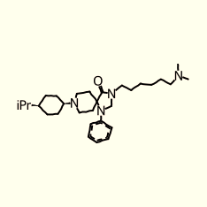 CC(C)[C@H]1CC[C@@H](N2CCC3(CC2)C(=O)N(CCCCCCN(C)C)CN3c2ccccc2)CC1